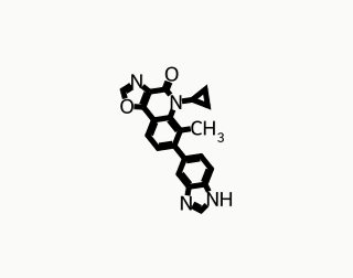 Cc1c(-c2ccc3[nH]cnc3c2)ccc2c3ocnc3c(=O)n(C3CC3)c12